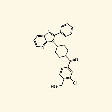 O=C(c1ccc(CO)c(Cl)c1)N1CCC(n2c(-c3ccccc3)nc3cccnc32)CC1